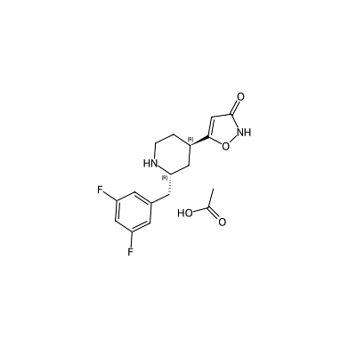 CC(=O)O.O=c1cc([C@@H]2CCN[C@@H](Cc3cc(F)cc(F)c3)C2)o[nH]1